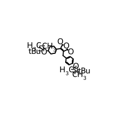 CC(C)(C)[Si](C)(C)Oc1ccc(CC2=C(C3CCC(O[Si](C)(C)C(C)(C)C)CC3)C(=O)OC2=O)cc1